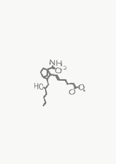 CCCCC(O)CC1C2CCC(C(N)=O)(C2)C1C=CCCCC(=O)OC